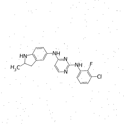 CC1Cc2cc(Nc3ccnc(Nc4cccc(Cl)c4F)n3)ccc2N1